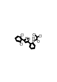 O=C(Nc1ccccc1-c1cc(-c2c(Cl)cccc2Cl)no1)C(Cl)Cl